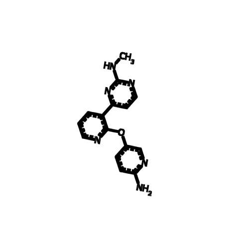 CNc1nccc(-c2cccnc2Oc2ccc(N)nc2)n1